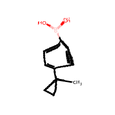 CC1(c2ccc(B(O)O)cc2)CC1